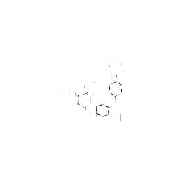 OC[C@H]1OC(c2ccc(Cl)c(Cc3ccc(C4CCCCC4)cc3)c2)[C@H](O)[C@@H](O)[C@@H]1O